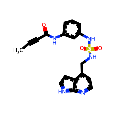 CC#CC(=O)Nc1cccc(NS(=O)(=O)NCc2ccnc3[nH]ccc23)c1